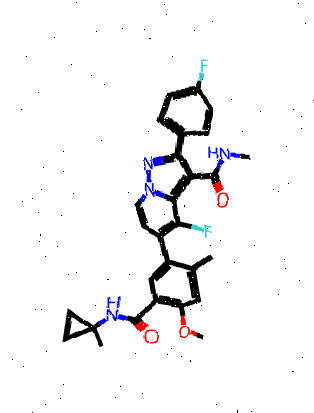 CNC(=O)c1c(-c2ccc(F)cc2)nn2ccc(-c3cc(C(=O)NC4(C)CC4)c(OC)cc3C)c(F)c12